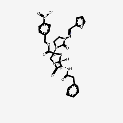 O=C(Cc1ccccc1)N[C@@H]1C(=O)N2C[C@@](C(=O)OCc3ccc([N+](=O)[O-])cc3)(N3CCN(/N=C/c4ccco4)C3=O)S[C@H]12